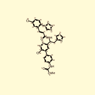 COC(=O)Nc1ccc(-c2cc(C(Cc3cscn3)NC(=O)/C=C/c3cc(Cl)ccc3-n3cnnn3)nnc2Cl)cc1